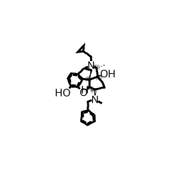 C[C@H]1N(CC2CC2)C2C[C@]34c5c2ccc(O)c5O[C@H]3[C@H](N(C)Cc2ccccc2)CC[C@@]14O